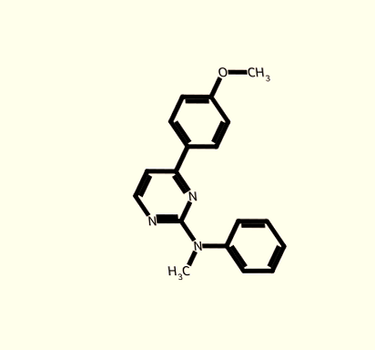 COc1ccc(-c2ccnc(N(C)c3ccccc3)n2)cc1